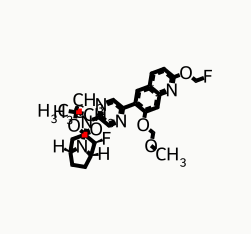 COCOc1cc2nc(OCF)ccc2cc1-c1cnc(N(C)[C@@H]2C[C@H]3CC[C@@H]([C@@H]2F)N3C(=O)OC(C)(C)C)cn1